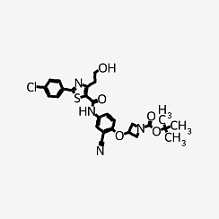 CC(C)(C)OC(=O)N1CC(Oc2ccc(NC(=O)c3sc(-c4ccc(Cl)cc4)nc3CCO)cc2C#N)C1